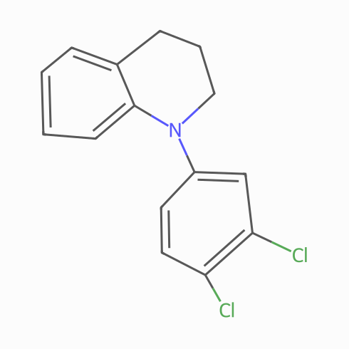 Clc1ccc(N2CCCc3ccccc32)cc1Cl